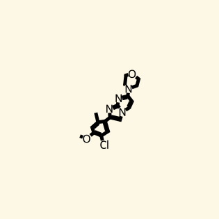 COc1cc(C)c(-c2cn3ccc(N4CCOCC4)nc3n2)cc1Cl